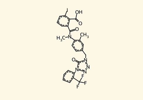 Cc1cc(Cn2nnn(-c3ccccc3C(F)(F)F)c2=O)ccc1N(C)C(=O)c1cccc(I)c1C(=O)O